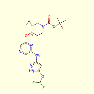 CC(C)(C)OC(=O)N1CC[C@@H](Oc2cncc(Nc3cc(OC(F)F)[nH]n3)n2)C2(CC2)C1